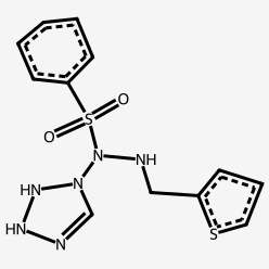 O=S(=O)(c1ccccc1)N(NCc1cccs1)N1C=NNN1